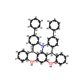 c1ccc(-c2ccc3c(c2)N2c4cc(-c5ccccc5)ccc4B4c5ccccc5Oc5cc6c(c2c54)B3c2ccccc2O6)cc1